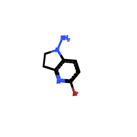 NN1CCc2nc(Br)ccc21